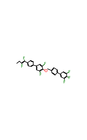 CC/C(F)=C(\F)c1ccc(-c2cc(F)c(OCc3ccc(-c4cc(F)c(F)c(F)c4)cc3)c(F)c2)cc1